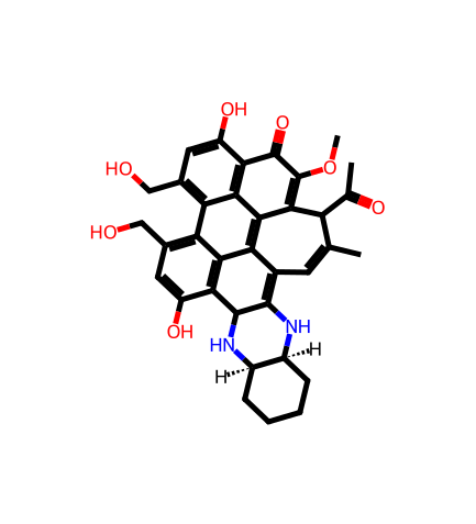 COC1=C2c3c4c5c(c(O)cc(CO)c5c5c(CO)cc(O)c(c35)C1=O)C1N[C@@H]3CCCC[C@@H]3NC1=C4C=C(C)C2C(C)=O